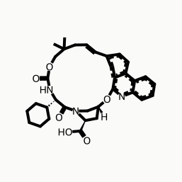 CC1(C)C/C=C/c2ccc3c(c2)c(nc2ccccc23)O[C@@H]2C[C@@H](C(=O)O)N(C2)C(=O)[C@H](C2CCCCC2)NC(=O)OC1